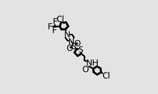 O=C(NCCc1ccc(S(=O)(=O)N2CCN(c3ccc(Cl)c(C(F)(F)F)c3)CC2)s1)c1ccc(Cl)cc1